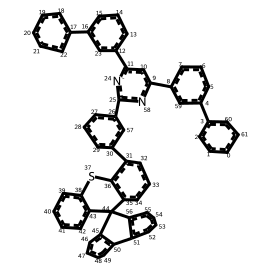 c1ccc(-c2cccc(-c3cc(-c4cccc(-c5ccccc5)c4)nc(-c4cccc(-c5cccc6c5Sc5ccccc5C65c6ccccc6-c6ccccc65)c4)n3)c2)cc1